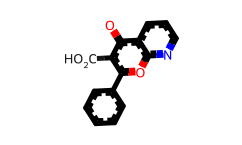 O=C(O)c1c(-c2ccccc2)oc2ncccc2c1=O